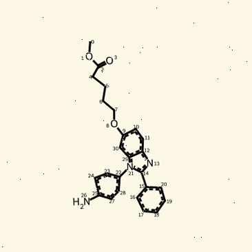 COC(=O)CCCCOc1ccc2nc(-c3ccccc3)n(-c3ccc(N)cc3)c2c1